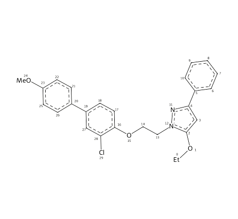 CCOc1cc(-c2ccccc2)nn1CCOc1ccc(-c2ccc(OC)cc2)cc1Cl